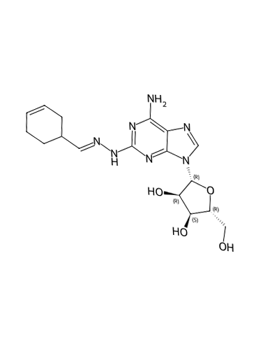 Nc1nc(NN=CC2CC=CCC2)nc2c1ncn2[C@@H]1O[C@H](CO)[C@@H](O)[C@H]1O